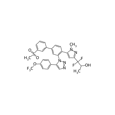 CC(O)C(F)(F)c1cc(-c2ccc(-c3cccc(S(C)(=O)=O)c3)cc2-n2nncc2-c2ccc(OC(F)(F)F)cc2)n(C)n1